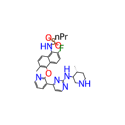 CCCS(=O)(=O)Nc1c(F)ccc2c(Oc3ncccc3-c3ccnc(N[C@@H]4CNCC[C@H]4C)n3)c(C)ccc12